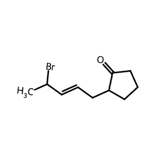 CC(Br)C=CCC1CCCC1=O